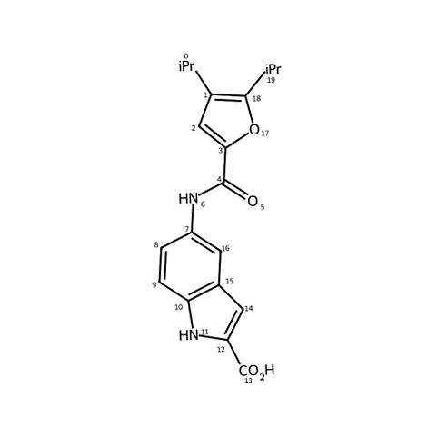 CC(C)c1cc(C(=O)Nc2ccc3[nH]c(C(=O)O)cc3c2)oc1C(C)C